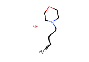 Br.C=CCCN1CCOCC1